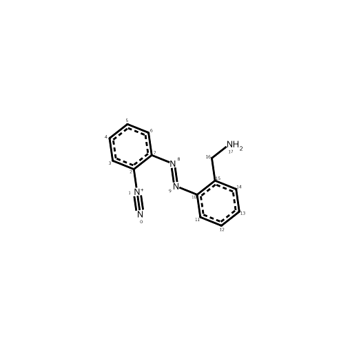 N#[N+]c1ccccc1N=Nc1ccccc1CN